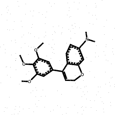 COc1cc(C2=CCOc3cc(N(C)C)ccc32)cc(OC)c1OC